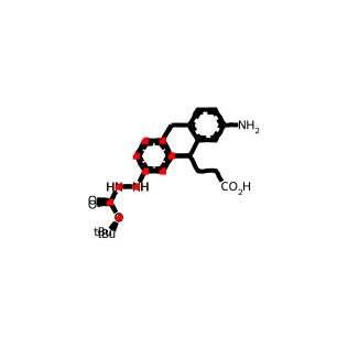 CC(C)(C)OC(=O)NNc1ccc2c(c1)C1(CCC(=O)O)c3cc(N)ccc3C2c2ccc(NNC(=O)OC(C)(C)C)cc21